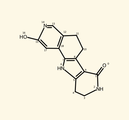 O=C1NCCc2[nH]c3c(c21)CCc1cnc(O)cc1-3